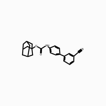 N#Cc1cccc(-c2ccc(NC(=O)OC34CC5CC(CC(C5)C3)C4)cc2)c1